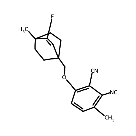 [C-]#[N+]c1c(C)ccc(OCC23C=C(F)C(C)(CC2)CC3)c1C#N